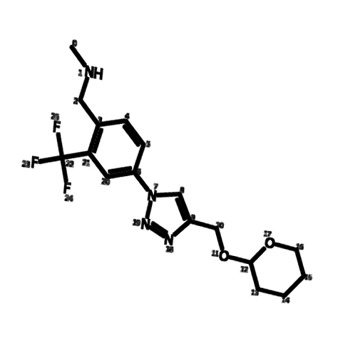 CNCc1ccc(-n2cc(COC3CCCCO3)nn2)cc1C(F)(F)F